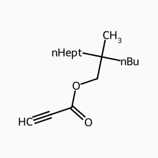 C#CC(=O)OCC(C)(CCCC)CCCCCCC